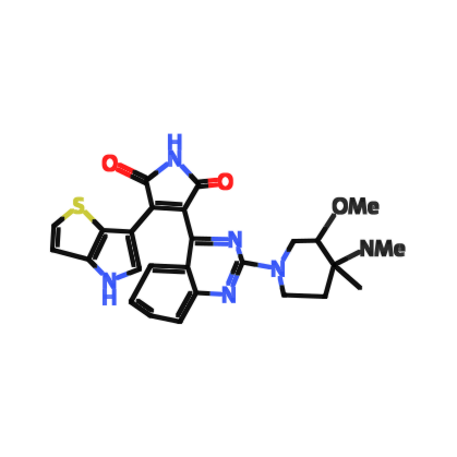 CNC1(C)CCN(c2nc(C3=C(c4c[nH]c5ccsc45)C(=O)NC3=O)c3ccccc3n2)CC1OC